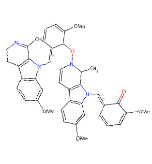 COC1=CC=C/C(=C\n2c3c(c4ccc(OC)cc42)C=CN(OC2C(OC)=CC=C/C2=C\n2c4c(c5ccc(OC)cc52)CCN=C4C)C3C)C1=O